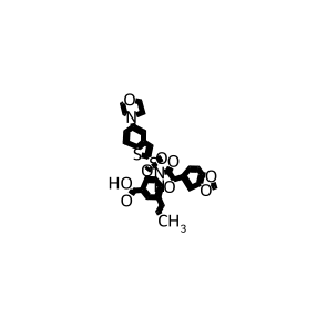 CCCc1cc(C(=O)O)ccc1OC(C(=O)NS(=O)(=O)c1cc2cc(N3CCOCC3)ccc2s1)c1ccc2c(c1)OCO2